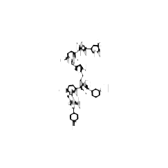 O=c1ccc(-c2noc(-c3cncc(Cl)c3)n2)nn1Cc1cnc(CC[n+]2oc(-c3cccc(Cl)c3)nc2-c2ccc(=O)n(Cc3nnc(-c4ccc(F)cc4)s3)n2)s1